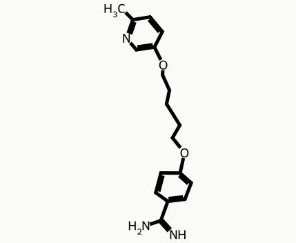 Cc1ccc(OCCCCCOc2ccc(C(=N)N)cc2)cn1